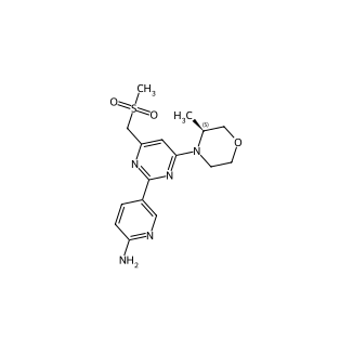 C[C@H]1COCCN1c1cc(CS(C)(=O)=O)nc(-c2ccc(N)nc2)n1